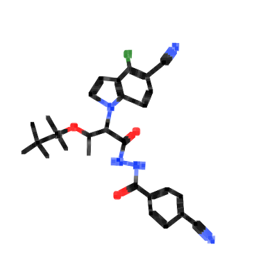 CC(O[Si](C)(C)C(C)(C)C)C(C(=O)NNC(=O)c1ccc(C#N)cc1)n1ccc2c(Cl)c(C#N)ccc21